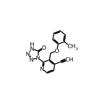 C#Cc1ccnc(-n2nn[nH]c2=O)c1COc1ccccc1C